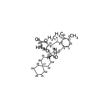 Cc1ccc(F)c([C@@H](C)[C@H](NS(=O)(=O)N2CCC3(CCCCC3)CC2)c2n[nH]c(=O)o2)c1C